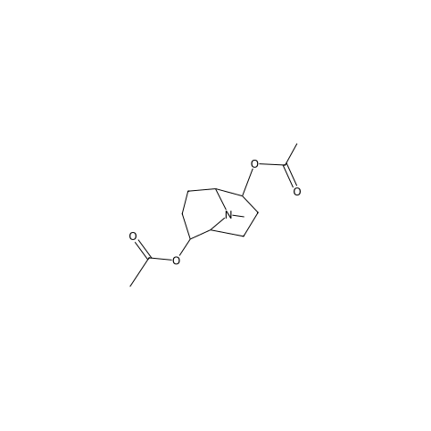 CC(=O)OC1CCC2C(OC(C)=O)CCC1N2C